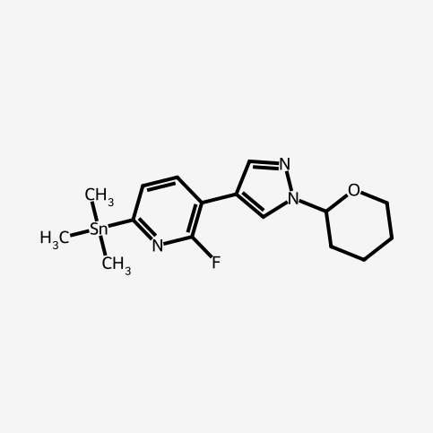 [CH3][Sn]([CH3])([CH3])[c]1ccc(-c2cnn(C3CCCCO3)c2)c(F)n1